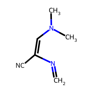 C=N/C(C#N)=C\N(C)C